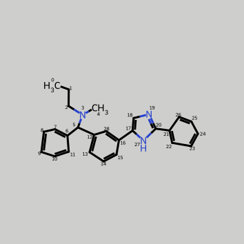 CCCN(C)C(c1ccccc1)c1cccc(-c2cnc(-c3ccccc3)[nH]2)c1